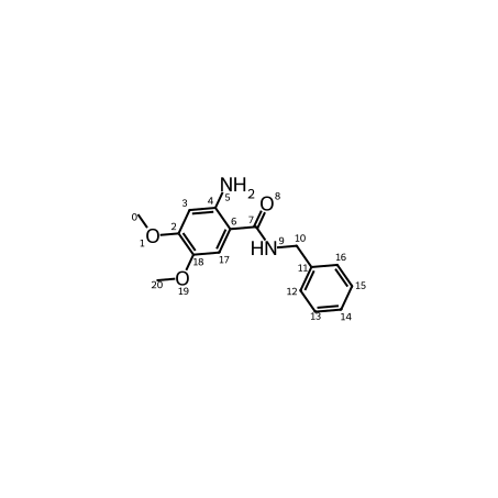 COc1cc(N)c(C(=O)NCc2ccccc2)cc1OC